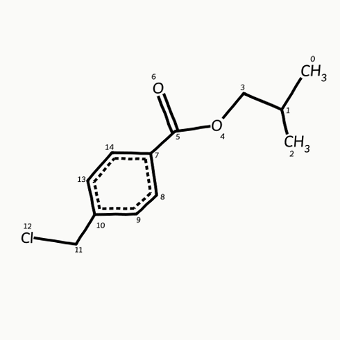 CC(C)COC(=O)c1ccc(CCl)cc1